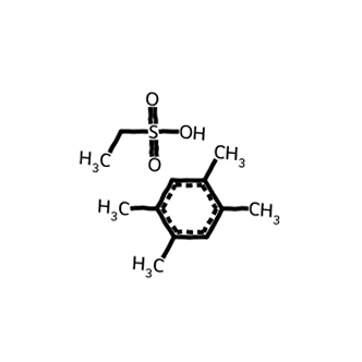 CCS(=O)(=O)O.Cc1cc(C)c(C)cc1C